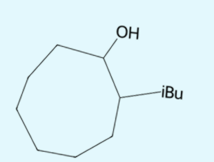 CCC(C)C1CCCCCCC1O